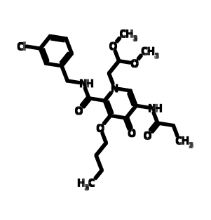 CCCCOc1c(C(=O)NCc2cccc(Cl)c2)n(CC(OC)OC)cc(NC(=O)CC)c1=O